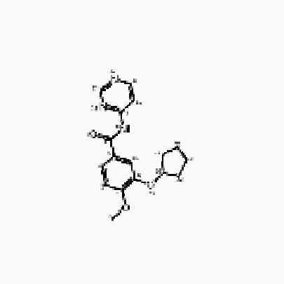 COc1ccc(C(=O)Nc2ccncn2)cc1OC1CCCC1